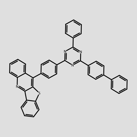 c1ccc(-c2ccc(-c3nc(-c4ccccc4)nc(-c4ccc(-c5c6ccccc6nc6c5sc5ccccc56)cc4)n3)cc2)cc1